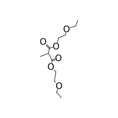 CCOCCOC(=O)C(C)C(=O)OCCOCC